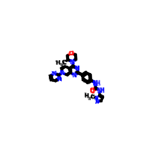 C[C@H]1COCCN1c1nc(-c2ccc(NC(=O)Nc3ccnn3C)cc2)nc2c1CCN(c1ncccn1)C2